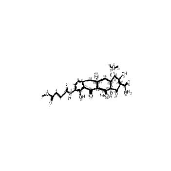 COC(=O)CCC(=O)Nc1ccc2c(c1O)C(=O)C1=C(O)[C@]3(O)C(=O)C(C(N)=O)=C(O)[C@@H](N(C)C)[C@@H]3C[C@@H]1C2